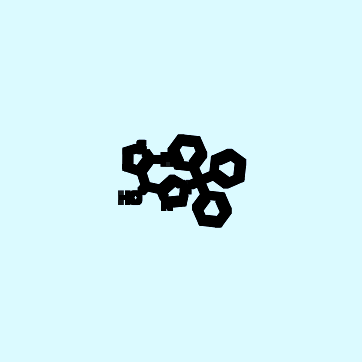 CCc1sccc1C(O)c1cn(C(c2ccccc2)(c2ccccc2)c2ccccc2)cn1